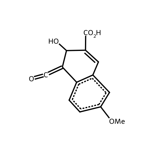 COc1ccc2c(c1)C=C(C(=O)O)C(O)C2=C=O